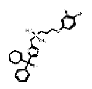 C[N+](C)(CCCOc1ccc(C#N)c(Cl)c1)Cc1nnc(C(O)(c2ccccc2)C2CCCCC2)o1